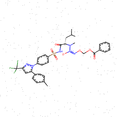 Cc1ccc(-c2cc(C(F)(F)F)nn2-c2ccc(S(=O)(=O)NC(=O)[C@H](CC(C)C)N(C)/[N+]([O-])=N\OCOC(=O)c3ccccc3)cc2)cc1